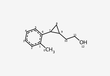 Cc1ccccc1C1CC1CCO